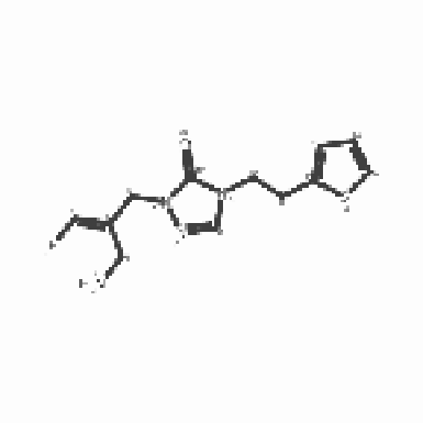 NC/C(=C\F)Cn1ncn(CCc2cccs2)c1=O